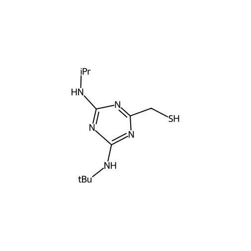 CC(C)Nc1nc(CS)nc(NC(C)(C)C)n1